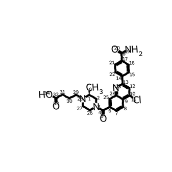 C[C@H]1CN(C(=O)c2ccc3c(Cl)cc(-c4ccc(C(N)=O)cc4)nc3c2)CCN1CCCC(=O)O